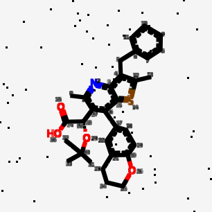 Cc1nc2c(Cc3ccccc3)c(C)sc2c(-c2ccc3c(c2)CCCO3)c1[C@H](OC(C)(C)C)C(=O)O